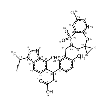 Cc1ccc([C@@H](CC(=O)O)c2ccn3c(C(F)F)nnc3c2C)cc1CN1CC2(CC2)Oc2ncc(Cl)cc2S1(=O)=O